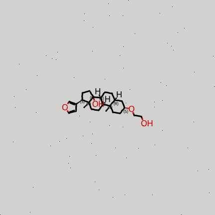 C[C@]12CC[C@H](OCCO)C[C@H]1CC[C@@H]1[C@@H]2CC[C@]2(C)[C@@H](c3ccoc3)CC[C@]12O